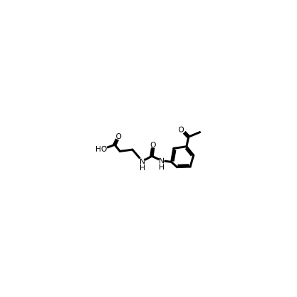 CC(=O)c1cccc(NC(=O)NCCC(=O)O)c1